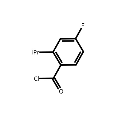 CC(C)c1cc(F)ccc1C(=O)Cl